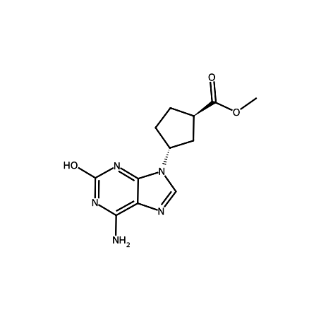 COC(=O)[C@@H]1CC[C@@H](n2cnc3c(N)nc(O)nc32)C1